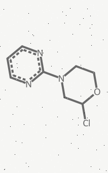 ClC1CN(c2ncccn2)CCO1